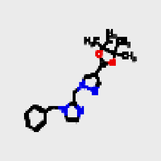 CC1(C)OB(c2cnn(Cc3nccn3Cc3ccccc3)c2)OC1(C)C